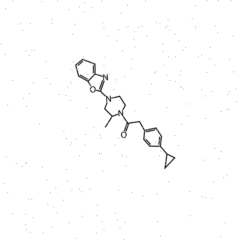 CC1CN(c2nc3ccccc3o2)CCN1C(=O)Cc1ccc(C2CC2)cc1